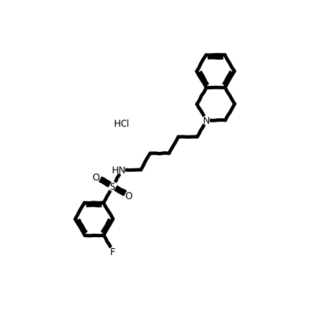 Cl.O=S(=O)(NCCCCCN1CCc2ccccc2C1)c1cccc(F)c1